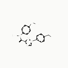 CCc1ccc(-n2cnc(C(=O)N(C)c3ccc(OC)cc3)n2)cc1